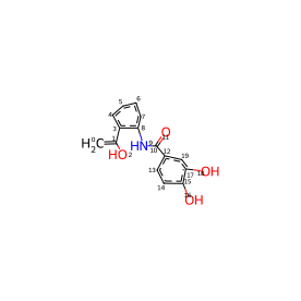 C=C(O)c1ccccc1NC(=O)c1ccc(O)c(O)c1